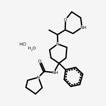 CC(C1CNCCO1)N1CCC(NC(=O)N2CCCC2)(c2ccccc2)CC1.Cl.O